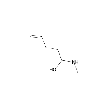 C=CCCC(O)NC